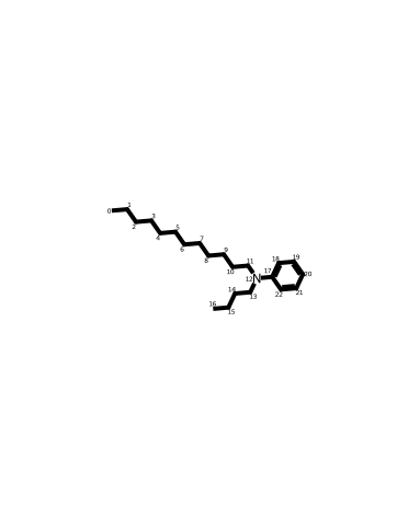 CCCCCCCCCCCCN(CCCC)c1ccccc1